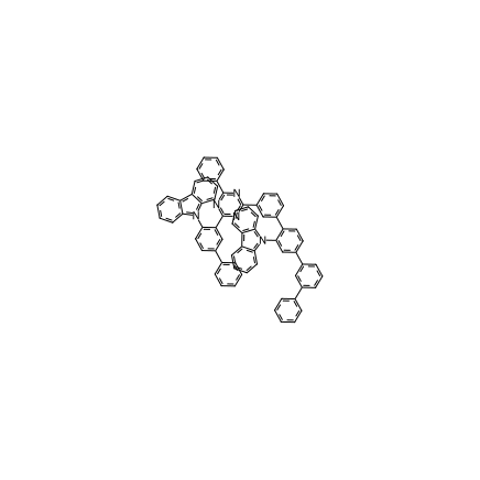 c1ccc(-c2cccc(-c3ccc(-c4cccc(-c5nc(-c6ccccc6)nc(-c6cc(-c7ccccc7)ccc6-n6c7ccccc7c7ccccc76)n5)c4)c(-n4c5ccccc5c5ccccc54)c3)c2)cc1